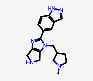 CN1CCC(Cn2c(-c3ccc4[nH]ncc4c3)nc3c2CNC3)C1